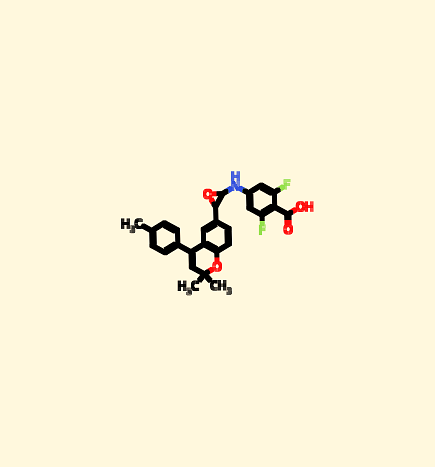 Cc1ccc(C2=CC(C)(C)Oc3ccc(C4OC4Nc4cc(F)c(C(=O)O)c(F)c4)cc32)cc1